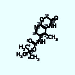 Cc1c(NC(=O)OC(C)(C)C)cnc2c1NC(=O)CO2